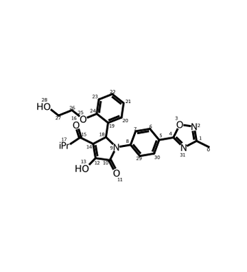 Cc1noc(-c2ccc(N3C(=O)C(O)=C(C(=O)C(C)C)C3c3ccccc3OCCO)cc2)n1